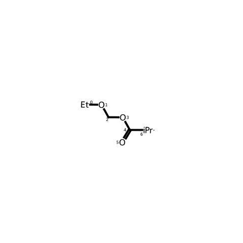 CCOCOC(=O)[C](C)C